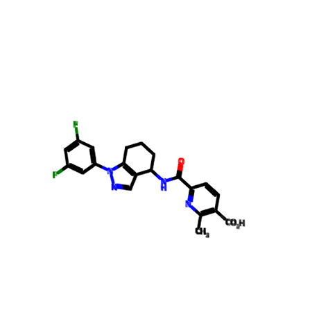 Cc1nc(C(=O)NC2CCCc3c2cnn3-c2cc(F)cc(F)c2)ccc1C(=O)O